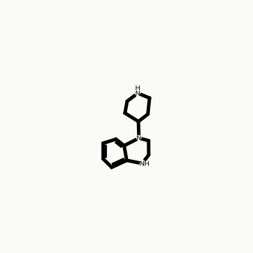 c1ccc2c(c1)NCCN2C1CCNCC1